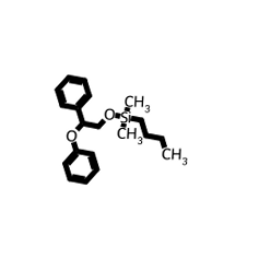 CCCC[Si](C)(C)OCC(Oc1ccccc1)c1ccccc1